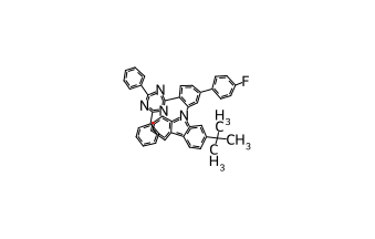 CC(C)(C)c1ccc2c3ccccc3n(-c3cc(-c4ccc(F)cc4)ccc3-c3nc(-c4ccccc4)nc(-c4ccccc4)n3)c2c1